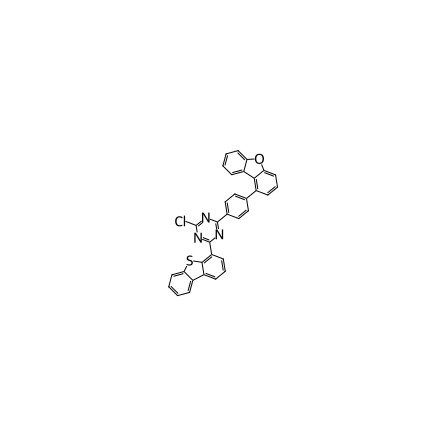 Clc1nc(-c2ccc(-c3cccc4oc5ccccc5c34)cc2)nc(-c2cccc3c2sc2ccccc23)n1